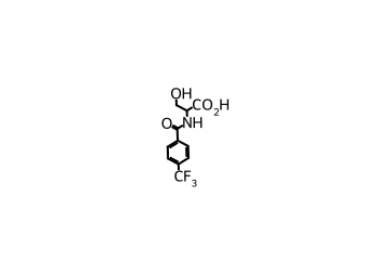 O=C(NC(CO)C(=O)O)c1ccc(C(F)(F)F)cc1